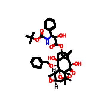 CC(=O)O[C@@]12[C@@H]3CO[C@@H]3C[C@H](C)[C@@]1(C)C(=O)[C@H](O)C1=C(C)[C@@H](OC(=O)[C@H](O)[C@@H](NC(=O)OC(C)(C)C)c3ccccc3)C[C@@](O)([C@H]2OCc2ccccc2)C1(C)C